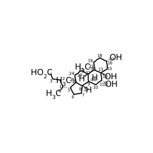 CC(CCC(=O)O)[C@H]1CC[C@H]2[C@@H]3C[C@@H](O)[C@@]4(O)C[C@@H](O)CC[C@]4(C)[C@H]3CC[C@]12C